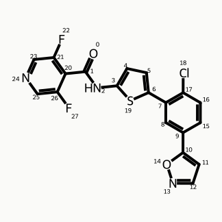 O=C(Nc1ccc(-c2cc(-c3ccno3)ccc2Cl)s1)c1c(F)cncc1F